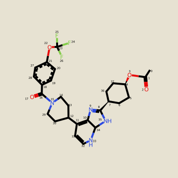 CC(=O)O[C@H]1CC[C@@H](C2=NC3=C(C4CCN(C(=O)c5ccc(OC(F)(F)F)cc5)CC4)C=CNC3N2)CC1